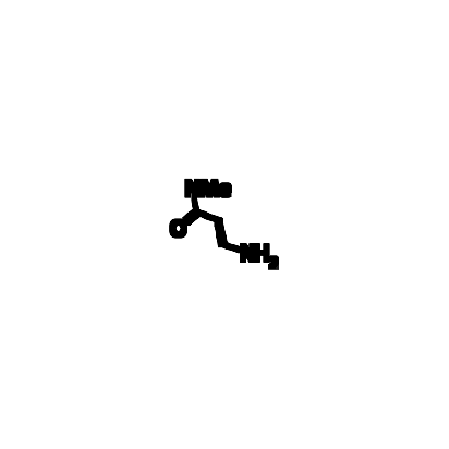 CNC(=O)/C=C/N